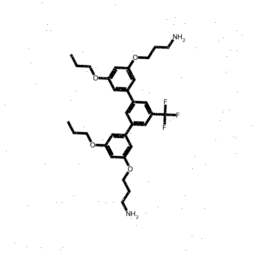 CCCOc1cc(OCCCN)cc(-c2cc(-c3cc(OCCC)cc(OCCCN)c3)cc(C(F)(F)F)c2)c1